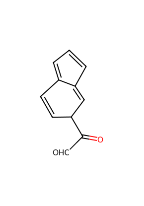 O=CC(=O)C1C=CC2=CC=CC2=C1